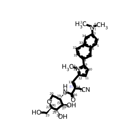 CN(C)c1ccc2cc(-c3ccc(/C=C(\C#N)C(=O)N[C@H]4CO[C@H](CO)[C@@H](O)[C@@H]4O)n3C)ccc2c1